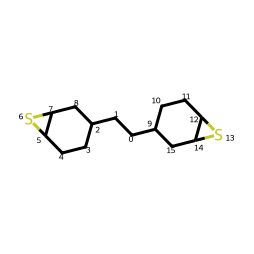 C(CC1CCC2SC2C1)C1CCC2SC2C1